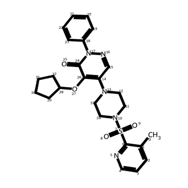 Cc1cccnc1S(=O)(=O)N1CCN(c2cnn(-c3ccccc3)c(=O)c2OC2CCCC2)CC1